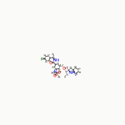 CCCC(N)(COCc1cc(C(=O)N[C@H](C)c2ccc(F)cc2)cc(N(C)S(C)(=O)=O)c1)Cc1ccccc1